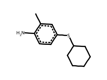 Cc1cc(SC2CCCCC2)ccc1N